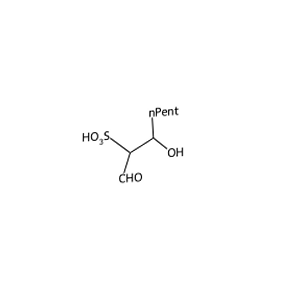 CCCCCC(O)C(C=O)S(=O)(=O)O